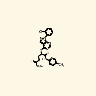 CNC(=O)CCC(Oc1ncnc2c1cnn2-c1ccccc1Cl)C(=O)Nc1ccc(C)cn1